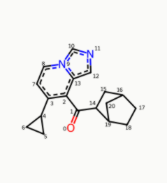 O=C(c1c(C2CC2)ccn2cncc12)C1CC2CCC1C2